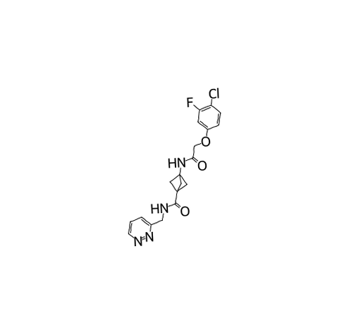 O=C(COc1ccc(Cl)c(F)c1)NC12CC(C(=O)NCc3cccnn3)(C1)C2